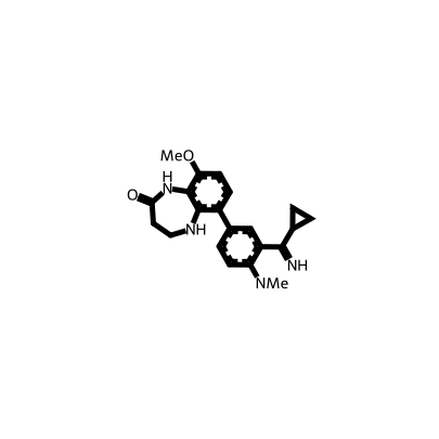 CNc1ccc(-c2ccc(OC)c3c2NCCC(=O)N3)cc1C(=N)C1CC1